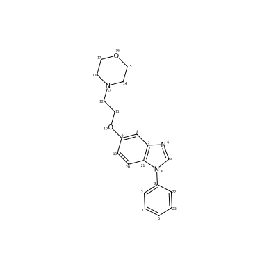 c1ccc(-n2cnc3cc(OCCN4CCOCC4)ccc32)cc1